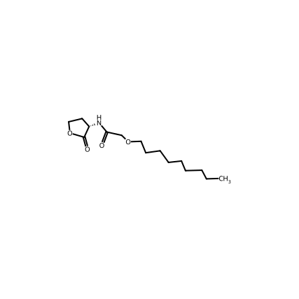 CCCCCCCCCOCC(=O)N[C@H]1CCOC1=O